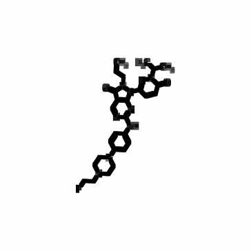 C=CCn1c(=O)c2cnc(Nc3ccc(N4CCN(CCF)CC4)cc3)nc2n1-c1ccc(=O)n(C(C)C)n1